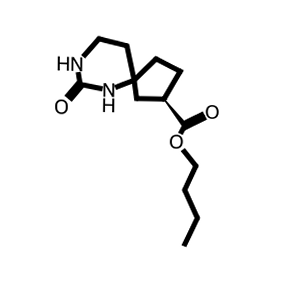 CCCCOC(=O)[C@@H]1CCC2(CCNC(=O)N2)C1